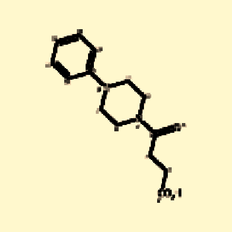 O=C(O)CCC(=O)N1CCN(c2ccccc2)CC1